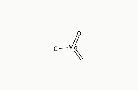 [CH2]=[Mo](=[O])[Cl]